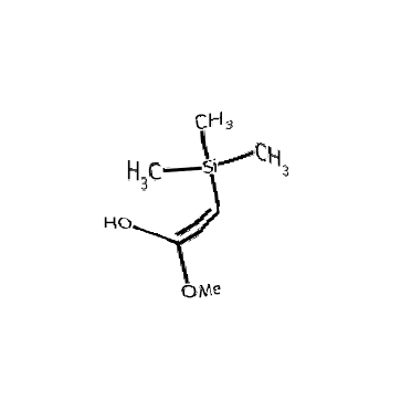 COC(O)=C[Si](C)(C)C